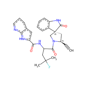 C#C[C@@H]1C[C@@]2(CN1C(=O)C(CC(C)(C)F)NC(=O)c1cc3cccnc3[nH]1)C(=O)Nc1ccccc12